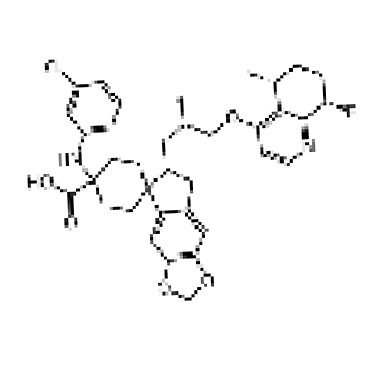 C[C@@H](COc1ccnc2c1[C@H](C)CC[C@H]2F)C[C@H]1Cc2cc3c(cc2C12CCC(Nc1cccc(Cl)c1)(C(=O)O)CC2)OCO3